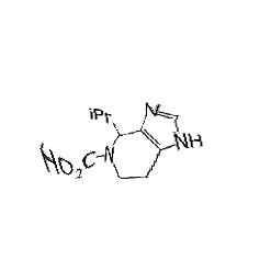 CC(C)C1c2nc[nH]c2CCN1C(=O)O